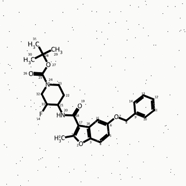 Cc1oc2ccc(OCc3ccccc3)cc2c1C(=O)NC1CCN(C(=O)OC(C)(C)C)CC1F